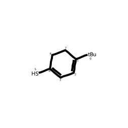 CC(C)(C)C1=CC=C(S)CC1